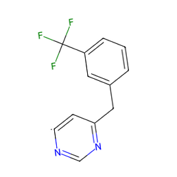 FC(F)(F)c1cccc(Cc2c[c]ncn2)c1